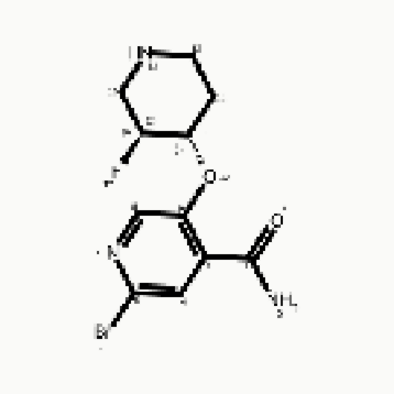 NC(=O)c1cc(Br)ncc1O[C@H]1CCNC[C@@H]1F